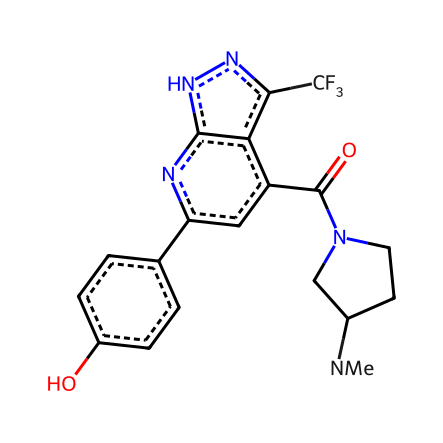 CNC1CCN(C(=O)c2cc(-c3ccc(O)cc3)nc3[nH]nc(C(F)(F)F)c23)C1